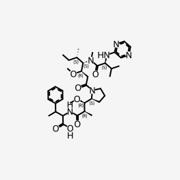 CC[C@H](C)[C@@H]([C@@H](CC(=O)N1CCC[C@H]1[C@H](OC)[C@@H](C)C(=O)NC(C(=O)O)C(C)c1ccccc1)OC)N(C)C(=O)[C@@H](Nc1cnccn1)C(C)C